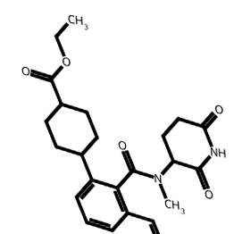 CCOC(=O)C1CCC(c2cccc(C=O)c2C(=O)N(C)C2CCC(=O)NC2=O)CC1